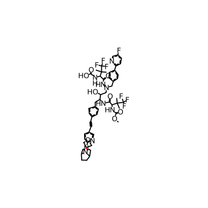 COC(=O)NC(C(=O)NC(Cc1ccc(C#Cc2ccc(N3CC4CCC(C3)N4C3COC3)nc2)cc1)C(O)CN(Cc1ccc(-c2ccc(F)cn2)cc1)NC(=O)C(NC(=O)O)C(C)(C)C(F)(F)F)C(C)(C)C(F)(F)F